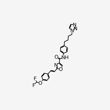 O=C(Nc1ccc(CCCCn2ccnn2)cc1)c1coc(C=Cc2ccc(OC(F)F)cc2)n1